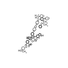 CC(C)Oc1ccccc1[C@H]1CN(Cc2cnc(N3CCOCC3)c3c2C(C)(C)CCO3)CCN1C1CC2(CCN(c3ccc(C(=O)NS(=O)(=O)c4ccc(NC[C@H]5CC[C@](C)(O)CC5)c([N+](=O)[O-])c4)c(N4c5cc6cc[nH]c6nc5O[C@H]5COCC[C@@H]54)c3)CC2)C1